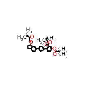 C=C(C)C(=O)COC1CCc2ccc(-c3ccc(-c4ccc(OC(=O)C(=C)C)cc4OC(=O)C(=C)C)c(C)c3)cc21